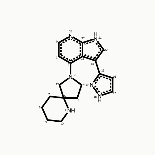 c1cc(N2CCC3(CCCCN3)C2)c2c(-c3cc[nH]n3)c[nH]c2n1